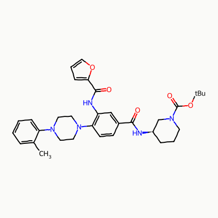 Cc1ccccc1N1CCN(c2ccc(C(=O)N[C@@H]3CCCN(C(=O)OC(C)(C)C)C3)cc2NC(=O)c2ccco2)CC1